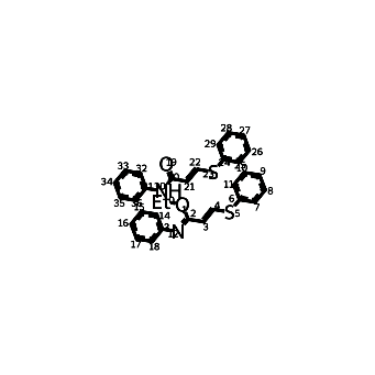 CCOC(C=CSc1ccccc1)=Nc1ccccc1.O=C(C=CSc1ccccc1)Nc1ccccc1